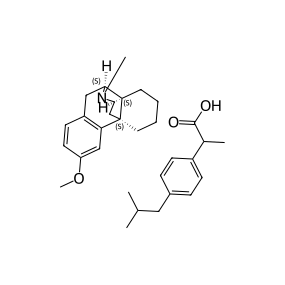 CC(C)Cc1ccc(C(C)C(=O)O)cc1.COc1ccc2c(c1)[C@]13CCCC[C@@H]1[C@H](C2)N(C)CC3